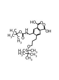 CC(C)(C)OC(=O)NCc1cc(C(=O)O)c(C(=O)O)cc1CCCO[Si](C)(C)C(C)(C)C